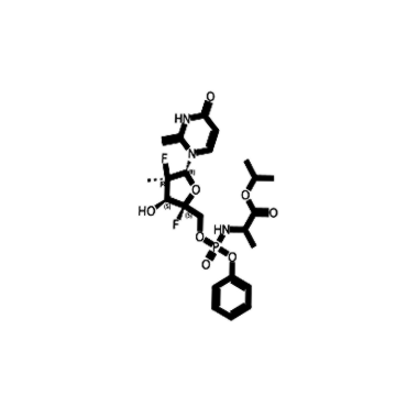 C=C1NC(=O)C=CN1[C@@H]1O[C@](F)(COP(=O)(NC(C)C(=O)OC(C)C)Oc2ccccc2)[C@@H](O)[C@@]1(C)F